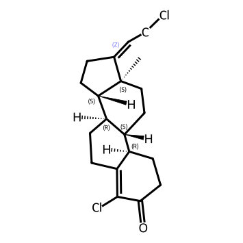 C[C@]12CC[C@H]3[C@@H](CCC4=C(Cl)C(=O)CC[C@@H]43)[C@@H]1CC/C2=C/CCl